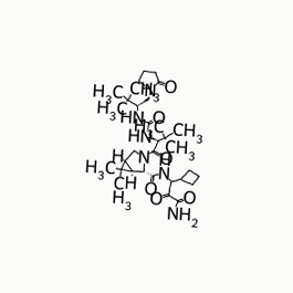 CC(C)(C)[C@H](NC(=O)N[C@H](CN1CCCC1=O)C(C)(C)C)C(=O)N1C[C@H]2[C@@H]([C@H]1C(=O)NC(C(=O)C(N)=O)C1CCC1)C2(C)C